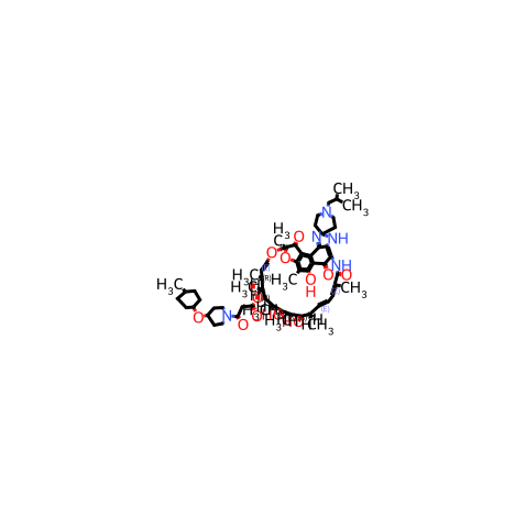 C/C1=C/C=C/[C@H](C)[C@H](O)[C@@H](C)[C@@H](O)[C@@H](C)[C@H](OC(=O)CC(=O)N2CCC(OC3CCC(C)CC3)CC2)[C@H](C)[C@@H](C)/C=C/O[C@@]2(C)Oc3c(C)c(O)c4c(c3C2=O)C2=NC3(CCN(CC(C)C)CC3)NC2=C(NC1=O)C4=O